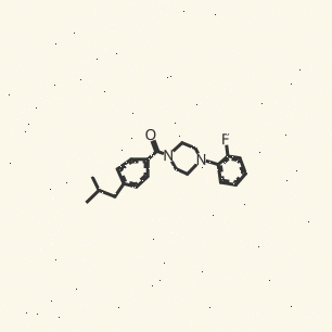 CC(C)Cc1ccc(C(=O)N2CCN(c3ccccc3F)CC2)cc1